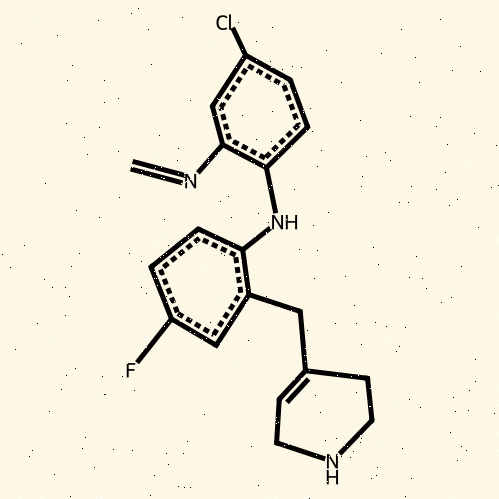 C=Nc1cc(Cl)ccc1Nc1ccc(F)cc1CC1=CCNCC1